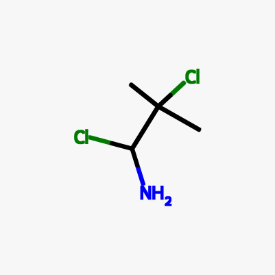 CC(C)(Cl)C(N)Cl